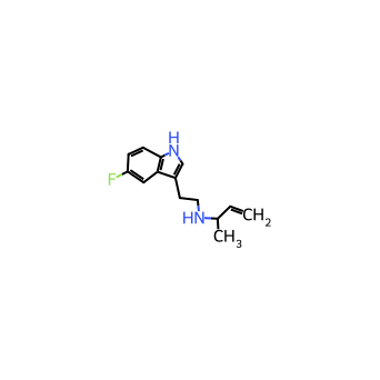 C=CC(C)NCCc1c[nH]c2ccc(F)cc12